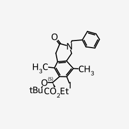 CCOC(=O)[C@@H](OC(C)(C)C)c1c(C)c2c(c(C)c1I)CN(Cc1ccccc1)C(=O)C2